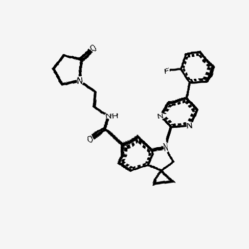 O=C(NCCN1CCCC1=O)c1ccc2c(c1)N(c1ncc(-c3ccccc3F)cn1)CC21CC1